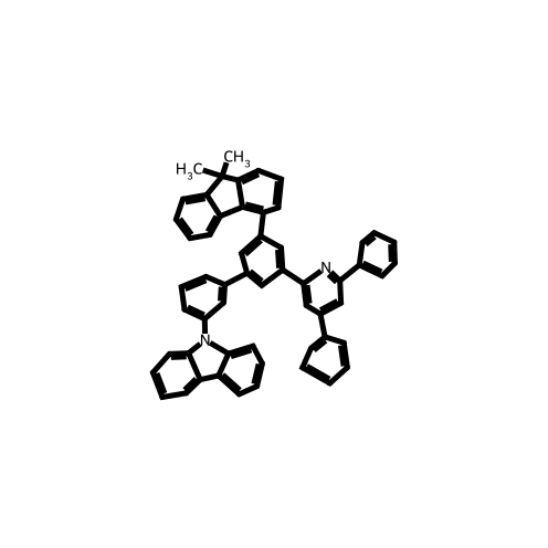 CC1(C)c2ccccc2-c2c(-c3cc(-c4cccc(-n5c6ccccc6c6ccccc65)c4)cc(-c4cc(-c5ccccc5)cc(-c5ccccc5)n4)c3)cccc21